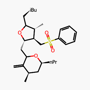 C=C1C(C[C@@H]2OC(C[C@H](C)CC)[C@H](C)[C@H]2CS(=O)(=O)c2ccccc2)O[C@@H](CCC)C[C@H]1C